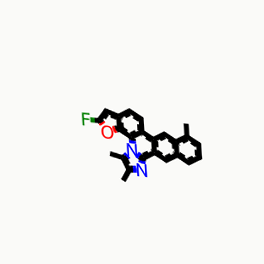 Cc1nc2c3cc4cccc(C)c4cc3c3ccc4cc(F)oc4c3n2c1C